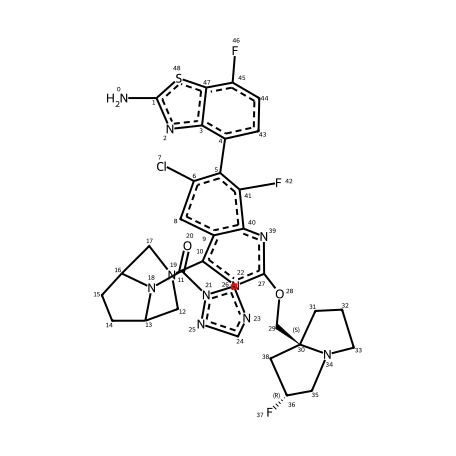 Nc1nc2c(-c3c(Cl)cc4c(N5CC6CCC(C5)N6C(=O)n5cncn5)nc(OC[C@@]56CCCN5C[C@H](F)C6)nc4c3F)ccc(F)c2s1